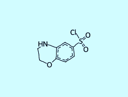 O=S(=O)(Cl)c1ccc2c(c1)NCCO2